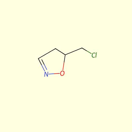 ClCC1CC=NO1